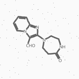 O=Cc1c(N2CCNC(=O)CC2)nc2ccccn12